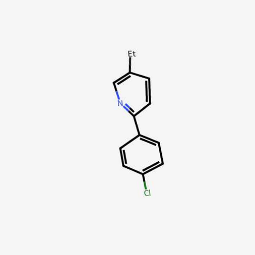 CCc1ccc(-c2ccc(Cl)cc2)nc1